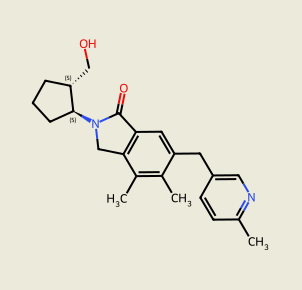 Cc1ccc(Cc2cc3c(c(C)c2C)CN([C@H]2CCC[C@@H]2CO)C3=O)cn1